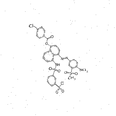 CS(=O)(=O)c1cc(/N=N/c2ccc(OC(=O)c3ccc(Cl)cc3)c3cccc(NS(=O)(=O)c4cccc(S(=O)(=O)Cl)c4)c23)ccc1[N+](=O)[O-]